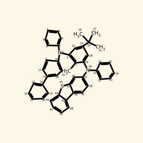 Cc1c(N(c2ccccc2)c2ccc(-c3ccccc3)cc2)cc(C(C)(C)C)cc1N(c1ccccc1)c1ccc2c(c1)sc1ccccc12